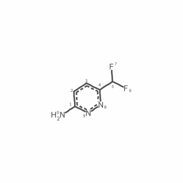 Nc1ccc(C(F)F)nn1